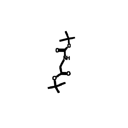 CC(C)(C)OC(=O)CNC(=O)OC(C)(C)C